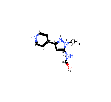 Cn1nc(-c2ccncc2)cc1NC=O